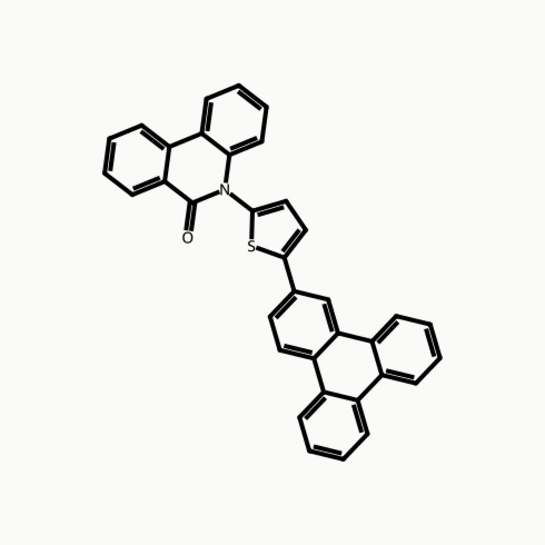 O=c1c2ccccc2c2ccccc2n1-c1ccc(-c2ccc3c4ccccc4c4ccccc4c3c2)s1